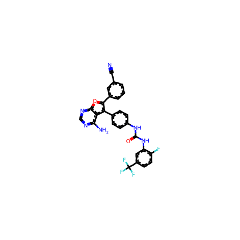 N#Cc1cccc(-c2oc3ncnc(N)c3c2-c2ccc(NC(=O)Nc3cc(C(F)(F)F)ccc3F)cc2)c1